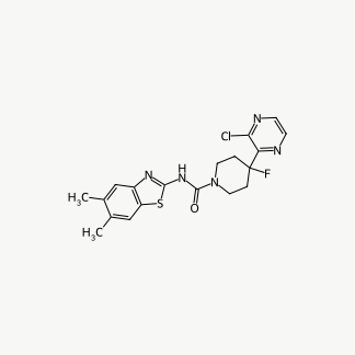 Cc1cc2nc(NC(=O)N3CCC(F)(c4nccnc4Cl)CC3)sc2cc1C